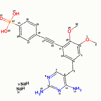 COc1cc(Cc2cnc(N)nc2N)cc(C#Cc2ccc(P(=O)(O)O)cc2)c1OC.[NaH].[NaH]